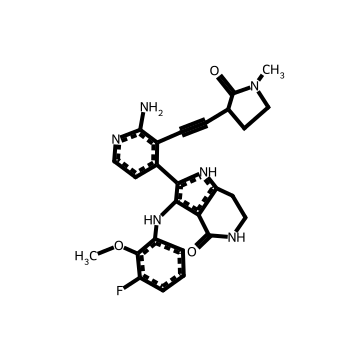 COc1c(F)cccc1Nc1c(-c2ccnc(N)c2C#CC2CCN(C)C2=O)[nH]c2c1C(=O)NCC2